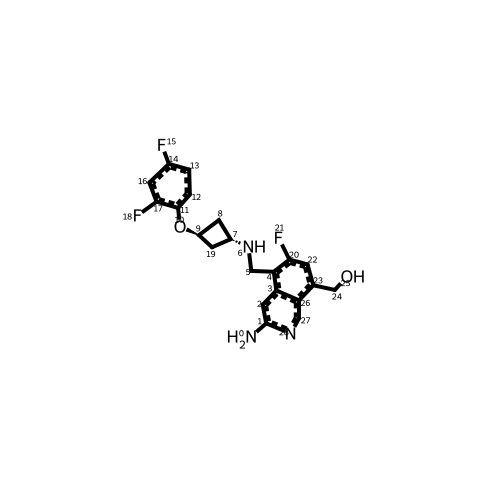 Nc1cc2c(CN[C@H]3C[C@H](Oc4ccc(F)cc4F)C3)c(F)cc(CO)c2cn1